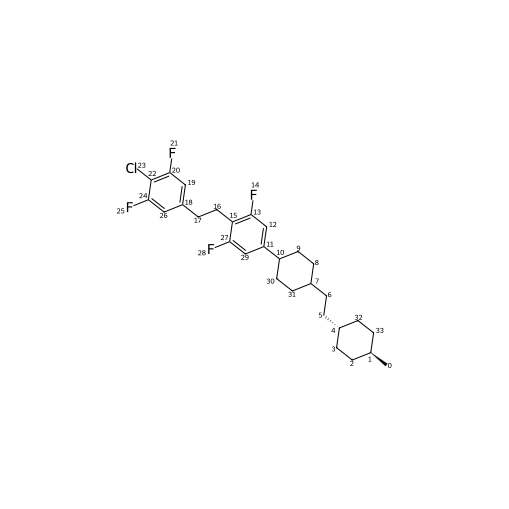 C[C@H]1CC[C@H](CCC2CCC(c3cc(F)c(CCc4cc(F)c(Cl)c(F)c4)c(F)c3)CC2)CC1